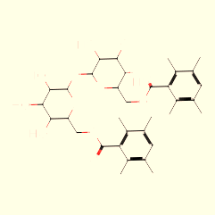 Cc1cc(C)c(C)c(C(=O)OCC2OC(OC3OC(COC(=O)c4c(C)c(C)cc(C)c4C)[C@H](O)C(O)C3O)C(O)C(O)C2O)c1C